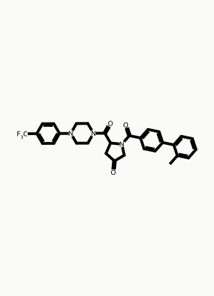 Cc1ccccc1-c1ccc(C(=O)N2CC(=O)CC2C(=O)N2CCN(c3ccc(C(F)(F)F)cc3)CC2)cc1